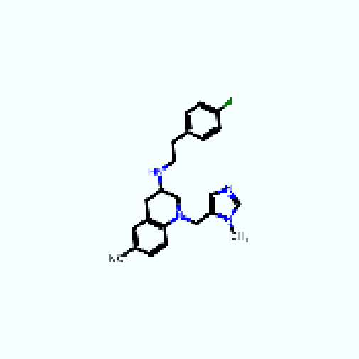 Cn1cncc1CN1CC(NCCc2ccc(F)cc2)Cc2cc(C#N)ccc21